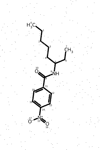 CCCCCC(CC)NC(=O)c1ccc([N+](=O)[O-])cc1